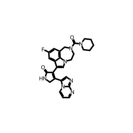 O=C1NCC(c2cnc3ncccn23)=C1c1cn2c3c(cc(F)cc13)CN(C(=O)N1CCCCC1)CC2